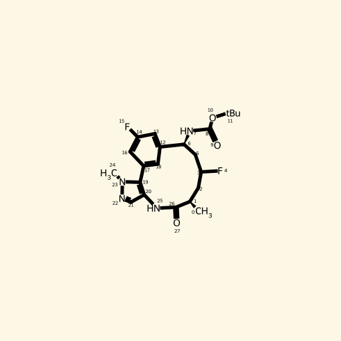 C[C@@H]1CC(F)C[C@H](NC(=O)OC(C)(C)C)c2cc(F)cc(c2)-c2c(cnn2C)NC1=O